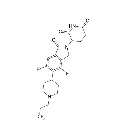 O=C1CCC(N2Cc3c(cc(F)c(C4CCN(CCC(F)(F)F)CC4)c3F)C2=O)C(=O)N1